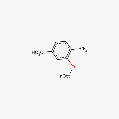 CCCCCCCCOc1cc(C(=O)O)ccc1C(F)(F)F